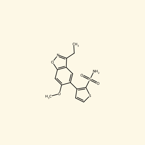 CCc1noc2cc(OC)c(-c3ccsc3S(N)(=O)=O)cc12